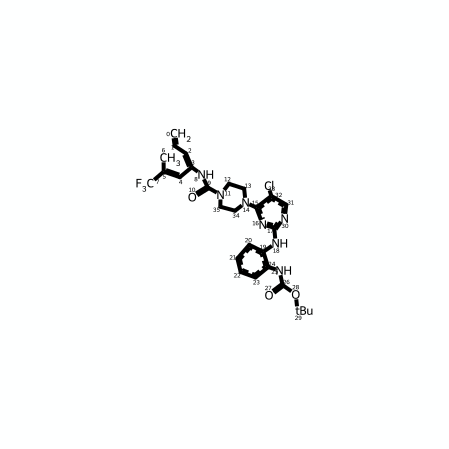 C=C/C=C(\C=C(/C)C(F)(F)F)NC(=O)N1CCN(c2nc(Nc3ccccc3NC(=O)OC(C)(C)C)ncc2Cl)CC1